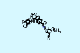 COCCN(C/C=C/C(=O)N1CCc2c(sc3ncnc(Nc4ccc(F)c(Cl)c4)c23)C1)CCC#N